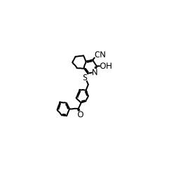 N#Cc1c(O)nc(SCc2ccc(C(=O)c3ccccc3)cc2)c2c1CCCC2